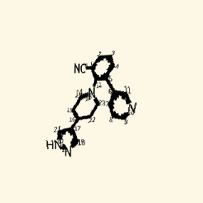 N#Cc1cccc(-c2cccnc2)c1N1CCC(c2cn[nH]c2)CC1